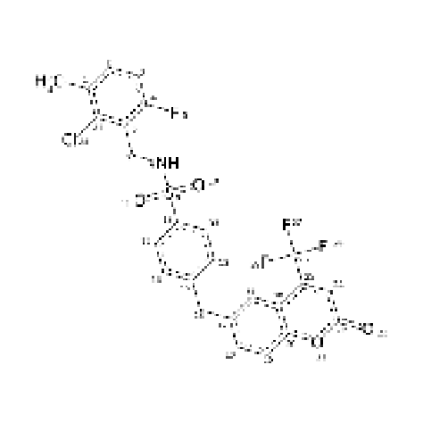 Cc1ccc(F)c(CNS(=O)(=O)c2ccc(Cc3ccc4oc(=O)cc(C(F)(F)F)c4c3)cc2)c1Cl